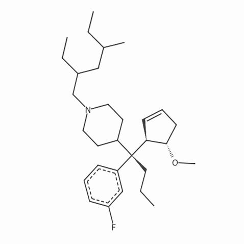 CCC[C@@](c1cccc(F)c1)(C1CCN(CC(CC)CC(C)CC)CC1)[C@H]1C=CC[C@@H]1OC